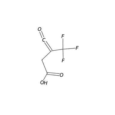 O=C=C(CC(=O)O)C(F)(F)F